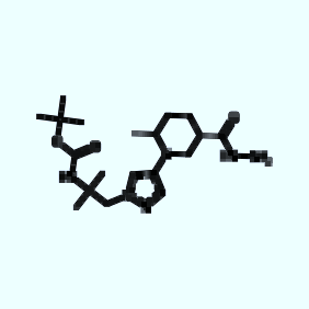 CC1CCC(C(=O)NN)CN1c1cnn(CC(C)(C)NC(=O)OC(C)(C)C)c1